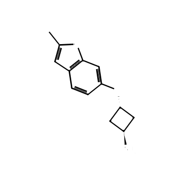 Cc1cc2ccc(O[C@H]3C[C@H](N)C3)cc2o1